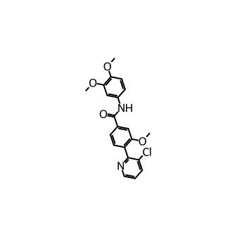 COc1ccc(NC(=O)c2ccc(-c3ncccc3Cl)c(OC)c2)cc1OC